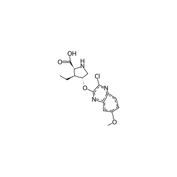 CC[C@@H]1[C@@H](Oc2nc3cc(OC)ccc3nc2Cl)CN[C@@H]1C(=O)O